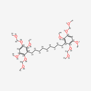 COCOc1cc(OC)c(OCOC)c(CCCCCCCCCc2c(OC)c(OCOC)cc(OC)c2OCOC)c1OC